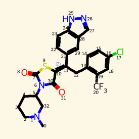 CN1CCCC(N2C(=O)S/C(=C(/Cc3ccc(Cl)cc3C(F)(F)F)c3ccc4[nH]ncc4c3)C2=O)C1